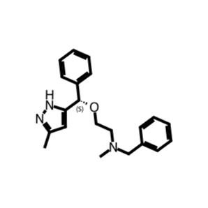 Cc1cc([C@@H](OCCN(C)Cc2ccccc2)c2ccccc2)[nH]n1